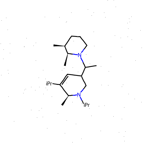 CC(C)C1=CC(C(C)N2CCC[C@H](C)[C@@H]2C)CN(C(C)C)[C@H]1C